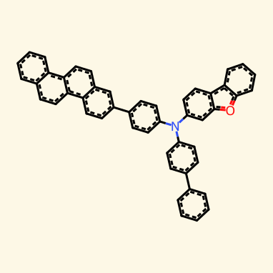 c1ccc(-c2ccc(N(c3ccc(-c4ccc5c(ccc6c7ccccc7ccc56)c4)cc3)c3ccc4c(c3)oc3ccccc34)cc2)cc1